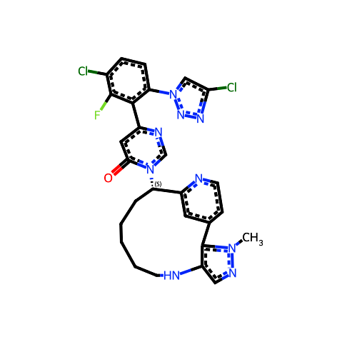 Cn1ncc2c1-c1ccnc(c1)[C@@H](n1cnc(-c3c(-n4cc(Cl)nn4)ccc(Cl)c3F)cc1=O)CCCCCN2